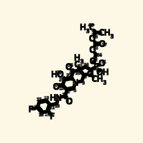 COC1Cn2cc(C(=O)NCc3ccc(F)cc3F)c(=O)c(O)c2C(=O)C1(C)CCP(=O)(O)OCOC(=O)OC(C)C